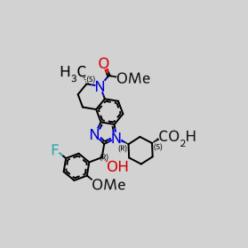 COC(=O)N1c2ccc3c(nc([C@H](O)c4cc(F)ccc4OC)n3[C@@H]3CCC[C@H](C(=O)O)C3)c2CC[C@@H]1C